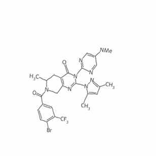 CNc1cnc(-n2c(-n3nc(C)cc3C)nc3c(c2=O)CC(C)N(C(=O)c2ccc(Br)c(C(F)(F)F)c2)C3)nc1